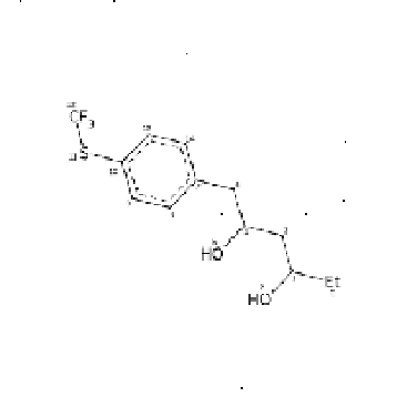 CCC(O)CC(O)Cc1ccc(SC(F)(F)F)cc1